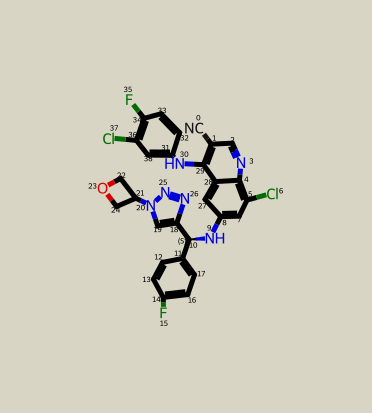 N#Cc1cnc2c(Cl)cc(N[C@@H](c3ccc(F)cc3)c3cn(C4COC4)nn3)cc2c1Nc1ccc(F)c(Cl)c1